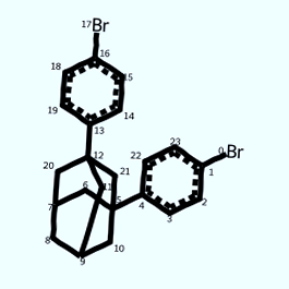 Brc1ccc(C23CC4CC(C2)CC(c2ccc(Br)cc2)(C4)C3)cc1